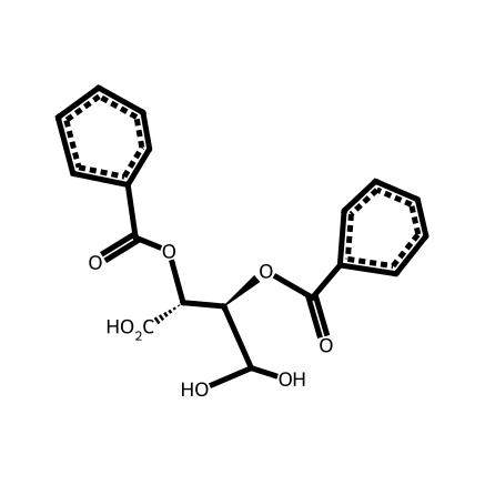 O=C(O[C@@H](C(=O)O)[C@@H](OC(=O)c1ccccc1)C(O)O)c1ccccc1